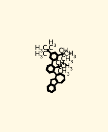 CC(C)(C)c1cc(-c2cccc(C3=C=CC=CC4=C3Cc3ccccc34)c2C(C)(C)C)cc(C(C)(C)C)c1